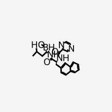 CC(C)C[C@@H](BO)NC(=O)[C@H](Cc1ccc2ccccc2c1)NC(=O)c1cnccn1